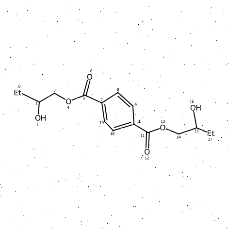 CCC(O)COC(=O)c1ccc(C(=O)OCC(O)CC)cc1